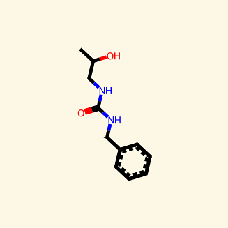 CC(O)CNC(=O)N[CH]c1ccccc1